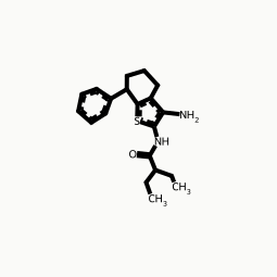 CCC(CC)C(=O)Nc1sc2c(c1N)CCCC2c1ccccc1